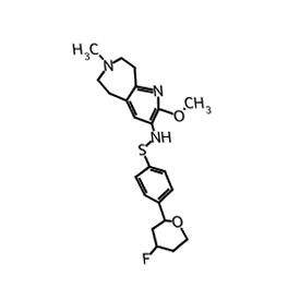 COc1nc2c(cc1NSc1ccc(C3CC(F)CCO3)cc1)CCN(C)CC2